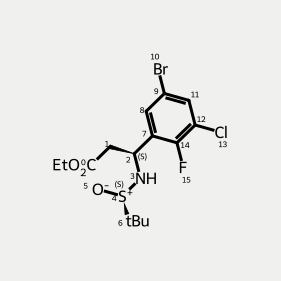 CCOC(=O)C[C@H](N[S@+]([O-])C(C)(C)C)c1cc(Br)cc(Cl)c1F